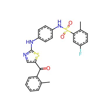 Cc1ccccc1C(=O)c1cnc(Nc2ccc(NS(=O)(=O)c3cc(F)ccc3C)cc2)s1